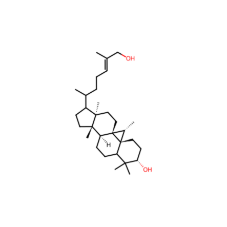 C/C(=C\CCC(C)C1CC[C@@]2(C)[C@@H]3CCC4C(C)(C)[C@@H](O)CC[C@@]45[C@@H](C)[C@@]35CC[C@]12C)CO